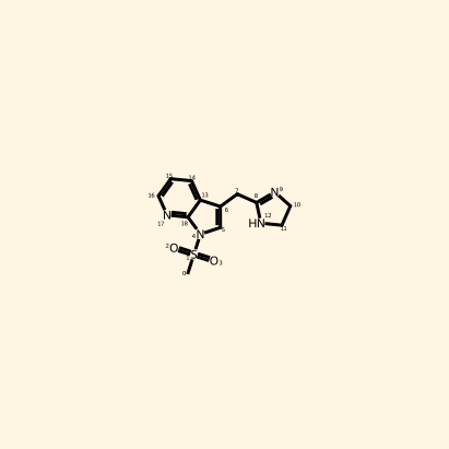 CS(=O)(=O)n1cc(CC2=NCCN2)c2cccnc21